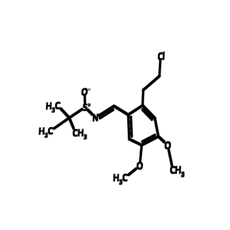 COc1cc(C=N[S+]([O-])C(C)(C)C)c(CCCl)cc1OC